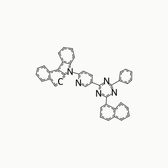 c1ccc(-c2nc(-c3ccc(-n4c5ccccc5c5c6ccccc6ccc54)nc3)nc(-c3cccc4ccccc34)n2)cc1